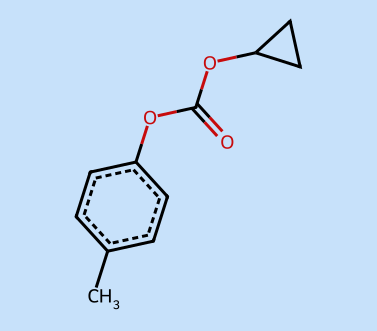 Cc1ccc(OC(=O)OC2CC2)cc1